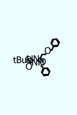 CC(C)(C)OC(=O)NNC(CCOCc1ccccc1)OCc1ccccc1